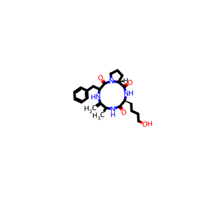 C=C1NC(Cc2ccccc2)C(=O)N2CCC[C@@H]2C(=O)N[C@@H](CCCCO)C(=O)NC1C